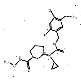 CCc1cc(CNC(=O)N(C2CC2)[C@@H]2CCCN(C(=O)NOC)C2)c(F)cc1Cl